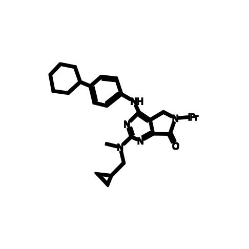 CC(C)N1Cc2c(Nc3ccc(C4CCCCC4)cc3)nc(N(C)CC3CC3)nc2C1=O